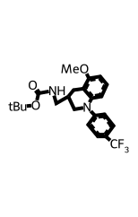 COc1cccc2c1CC(CNC(=O)OC(C)(C)C)CN2c1ccc(C(F)(F)F)cc1